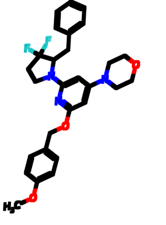 COc1ccc(COc2cc(N3CCOCC3)cc(N3CCC(F)(F)C3Cc3ccccc3)n2)cc1